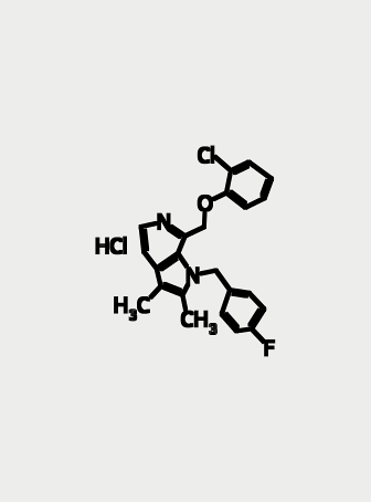 Cc1c(C)n(Cc2ccc(F)cc2)c2c(COc3ccccc3Cl)nccc12.Cl